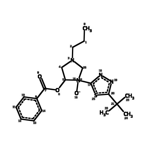 CCCN1CC(OC(=O)c2ccccc2)[N+]([O-])(c2nnc(C(C)(C)C)s2)C1